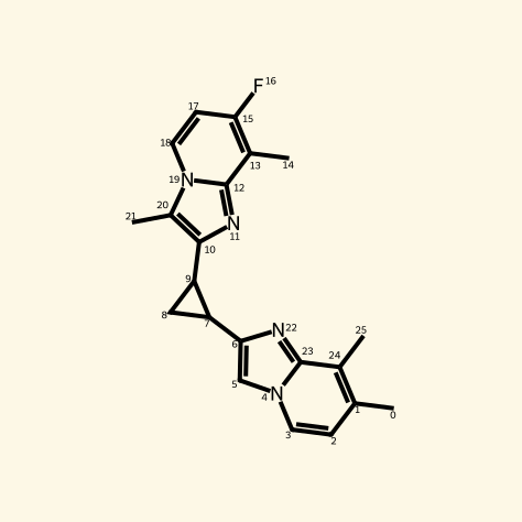 Cc1ccn2cc(C3CC3c3nc4c(C)c(F)ccn4c3C)nc2c1C